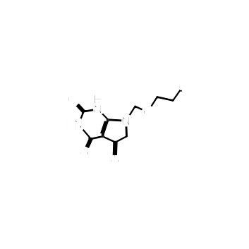 O=C1CN(COCCI)c2[nH]c(=O)[nH]c(=O)c21